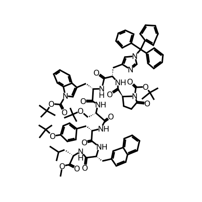 COC(=O)[C@H](CC(C)C)NC(=O)[C@@H](Cc1ccc2ccccc2c1)NC(=O)[C@H](Cc1ccc(OC(C)(C)C)cc1)NC(=O)[C@H](COC(C)(C)C)NC(=O)[C@H](Cc1cn(C(=O)OC(C)(C)C)c2ccccc12)NC(=O)[C@H](Cc1cn(C(c2ccccc2)(c2ccccc2)c2ccccc2)cn1)NC(=O)[C@@H]1CCC(=O)N1C(=O)OC(C)(C)C